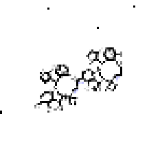 Cc1ccsc1C1c2cccc(F)c2OC/C=C/C2(CCC2)N2CN1N1C=C/C(=C3/C=C/C4(CCC4)N4CN(C(c5ccsc5C)c5ccccc5O3)n3ccc(=O)c(O)c3C4=O)C(O)=C1C2=O